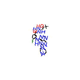 CN1CCCN(c2ncc3ncnc(Nc4cc(C(=O)NC(=N)/C=C(\O)C(C)(C)C)ccc4F)c3n2)CC1